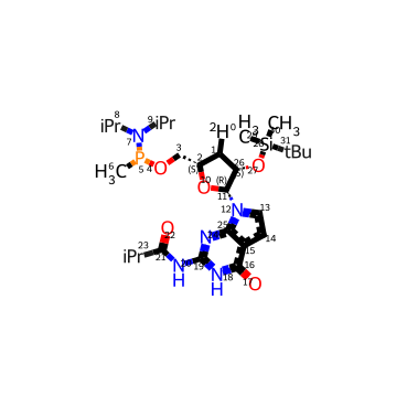 [2H]C1[C@@H](COP(C)N(C(C)C)C(C)C)O[C@@H](n2ccc3c(=O)[nH]c(NC(=O)C(C)C)nc32)[C@H]1O[Si](C)(C)C(C)(C)C